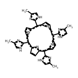 Cc1c[nH]c(-c2c3nc(c(-c4nc(C)c[nH]4)c4ccc([nH]4)c(-c4nc(C)c[nH]4)c4nc(c(-c5nc(C)c[nH]5)c5ccc2[nH]5)C=C4)C=C3)n1